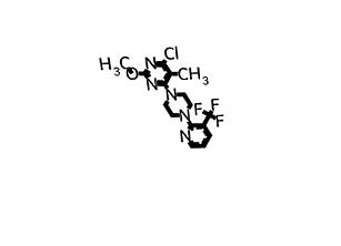 COc1nc(Cl)c(C)c(N2CCN(c3ncccc3C(F)(F)F)CC2)n1